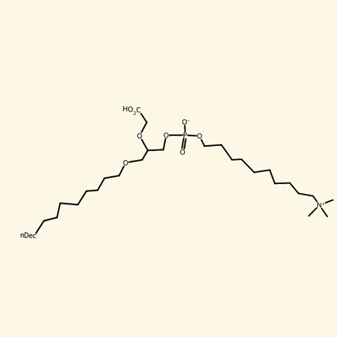 CCCCCCCCCCCCCCCCCCOCC(COP(=O)([O-])OCCCCCCCCCC[N+](C)(C)C)OCC(=O)O